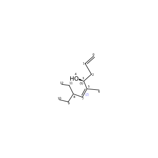 C=CC[C@H](O)/C(C)=C\C(CC)CC